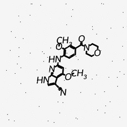 COc1cc(C(=O)N2CCOCC2)ccc1Nc1cc(OC)c2c(C#N)c[nH]c2n1